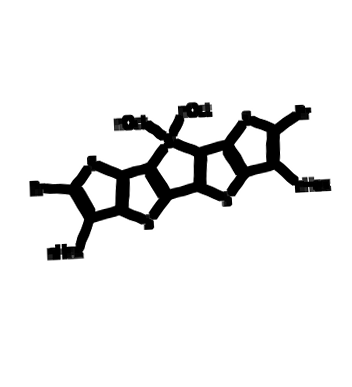 CCCCCCCC[Si]1(CCCCCCCC)c2c(sc3c(CCCCCC)c(Br)sc23)-c2sc3c(CCCCCC)c(Br)sc3c21